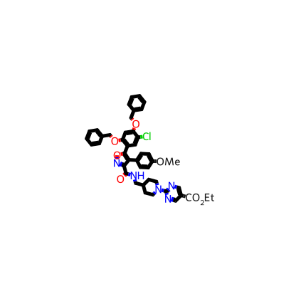 CCOC(=O)c1cnc(N2CCC(CNC(=O)c3noc(-c4cc(Cl)c(OCc5ccccc5)cc4OCc4ccccc4)c3-c3ccc(OC)cc3)CC2)nc1